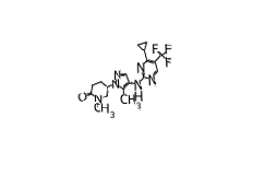 Cc1c(Nc2ncc(C(F)(F)F)c(C3CC3)n2)cnn1C1CCC(=O)N(C)C1